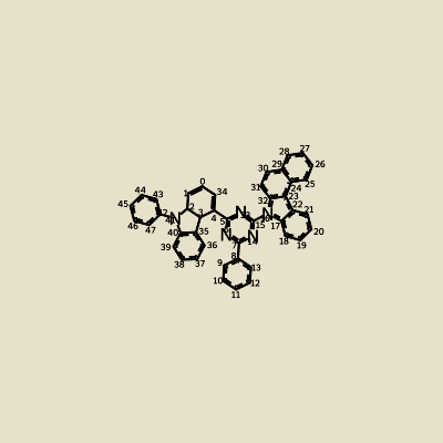 C1=CC2C(C(c3nc(-c4ccccc4)nc(-n4c5ccccc5c5c6ccccc6ccc54)n3)=C1)c1ccccc1N2c1ccccc1